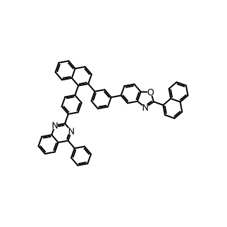 c1ccc(-c2nc(-c3ccc(-c4c(-c5cccc(-c6ccc7oc(-c8cccc9ccccc89)nc7c6)c5)ccc5ccccc45)cc3)nc3ccccc23)cc1